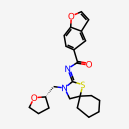 O=C(N=C1SC2(CCCCC2)CN1C[C@@H]1CCCO1)c1ccc2occc2c1